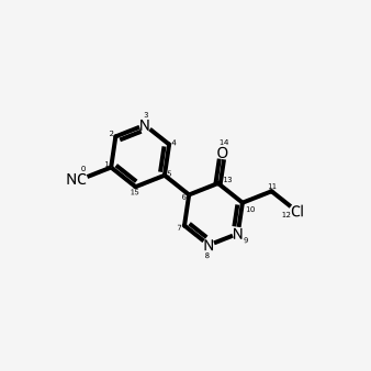 N#Cc1cncc(C2C=NN=C(CCl)C2=O)c1